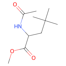 COC(=O)C(CC(C)(C)C)NC(C)=O